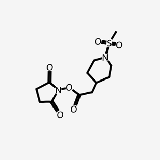 CS(=O)(=O)N1CCC(CC(=O)ON2C(=O)CCC2=O)CC1